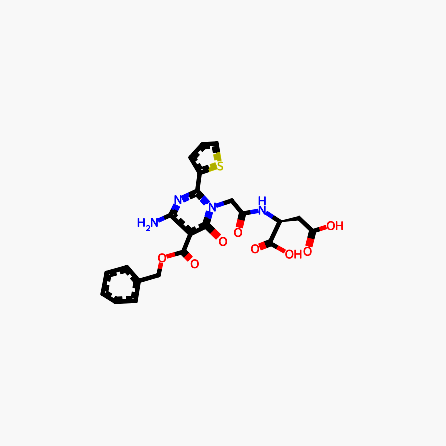 Nc1nc(-c2cccs2)n(CC(=O)N[C@@H](CC(=O)O)C(=O)O)c(=O)c1C(=O)OCc1ccccc1